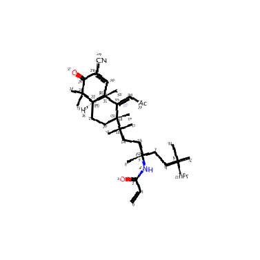 C=CC(=O)N[C@@](C)(CCC(C)(C)CCC)CCC(C)(C)[C@]1(C)CC[C@H]2C(C)(C)C(=O)C(C#N)=C[C@]2(C)/C1=C/C(C)=O